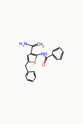 C=C(N)c1cc(Cc2ccccc2)sc1NC(=O)c1ccccc1